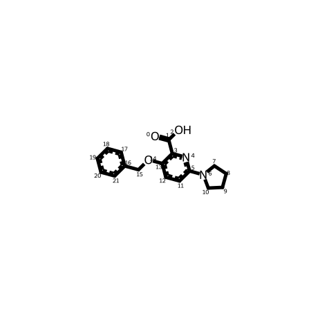 O=C(O)c1nc(N2CCCC2)ccc1OCc1ccccc1